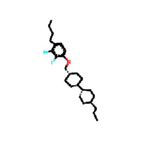 CCCCc1ccc(OC[C@H]2CC[C@H]([C@H]3CC[C@H](CCC)CC3)CC2)c(F)c1F